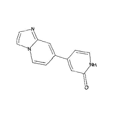 O=c1cc(-c2ccn3ccnc3c2)cc[nH]1